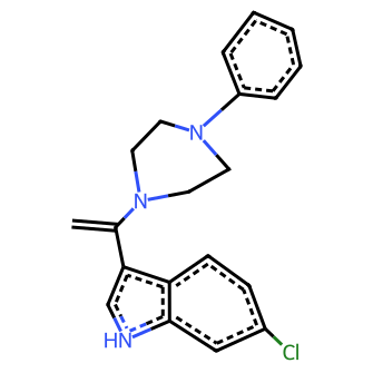 C=C(c1c[nH]c2cc(Cl)ccc12)N1CCN(c2ccccc2)CC1